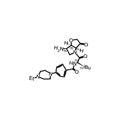 CC[C@H](C)[C@H](NC(=O)c1ccc(N2CCN(CC)CC2)cc1)C(=O)N1C[C@@H](N)[C@H]2OCC(=O)[C@H]21